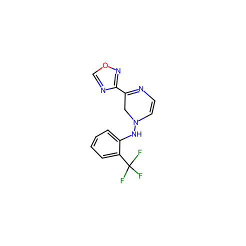 FC(F)(F)c1ccccc1NN1C=CN=C(c2ncon2)C1